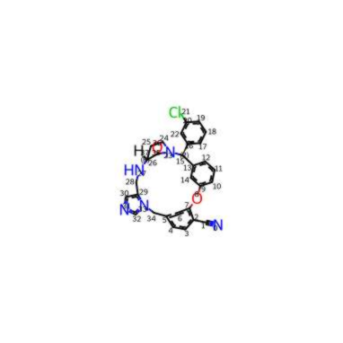 N#Cc1ccc2cc1Oc1cccc(c1)[C@H](c1cccc(Cl)c1)N1CC[C@@H](NCc3cncn3C2)C1=O